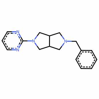 c1ccc(CN2CC3CN(c4ncccn4)CC3C2)cc1